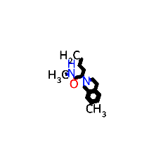 C=CCCC(C(=O)NC)N1CCc2ccc(C)cc2C1